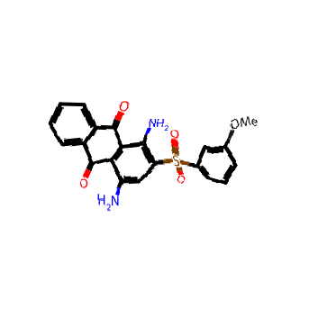 COc1cccc(S(=O)(=O)c2cc(N)c3c(c2N)C(=O)c2ccccc2C3=O)c1